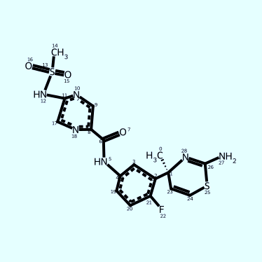 C[C@@]1(c2cc(NC(=O)c3cnc(NS(C)(=O)=O)cn3)ccc2F)C=CSC(N)=N1